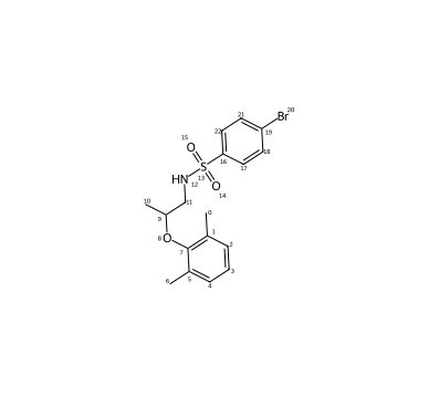 Cc1cccc(C)c1OC(C)CNS(=O)(=O)c1ccc(Br)cc1